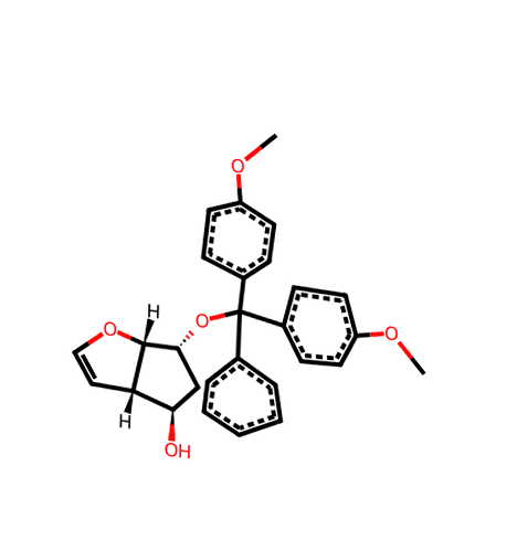 COc1ccc(C(O[C@@H]2C[C@@H](O)[C@@H]3C=CO[C@@H]32)(c2ccccc2)c2ccc(OC)cc2)cc1